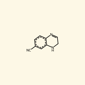 N#Cc1ccc2c(c1)NCC=N2